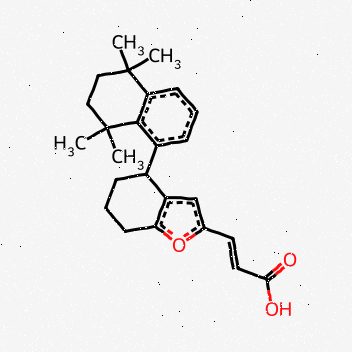 CC1(C)CCC(C)(C)c2c(C3CCCc4oc(/C=C/C(=O)O)cc43)cccc21